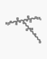 COCCNC(=O)OCC(COC(=O)NCCOC)OCCCC(=O)NCCCOCCCC=O